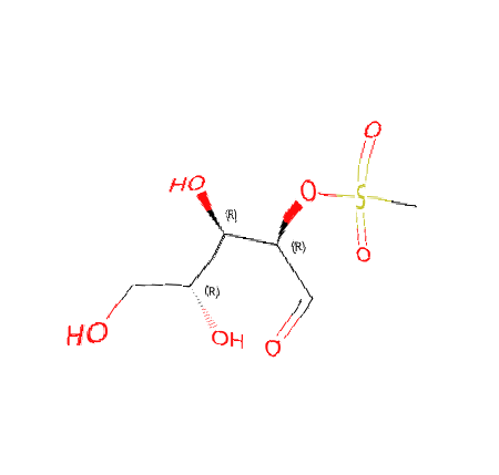 CS(=O)(=O)O[C@@H](C=O)[C@H](O)[C@H](O)CO